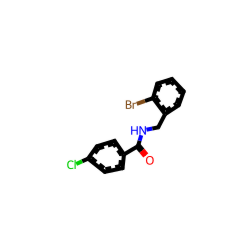 O=C(NCc1ccccc1Br)c1ccc(Cl)cc1